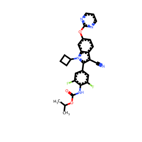 CC(C)OC(=O)Nc1c(F)cc(-c2c(C#N)c3ccc(Oc4ncccn4)cc3n2C2CCC2)cc1F